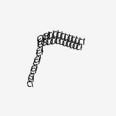 CCO.ClCCl.ClCCl.ClCCl.ClCCl.ClCCl.ClCCl.ClCCl.ClCCl.ClCCl.ClCCl.ClCCl.ClCCl.ClCCl.ClCCl.ClCCl